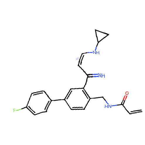 C=CC(=O)NCc1ccc(-c2ccc(F)cc2)cc1C(=N)/C=C\NC1CC1